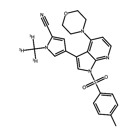 [3H]C([3H])([3H])n1cc(-c2cn(S(=O)(=O)c3ccc(C)cc3)c3nccc(N4CCOCC4)c23)cc1C#N